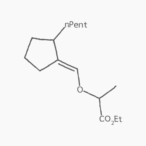 CCCCCC1CCCC1=COC(C)C(=O)OCC